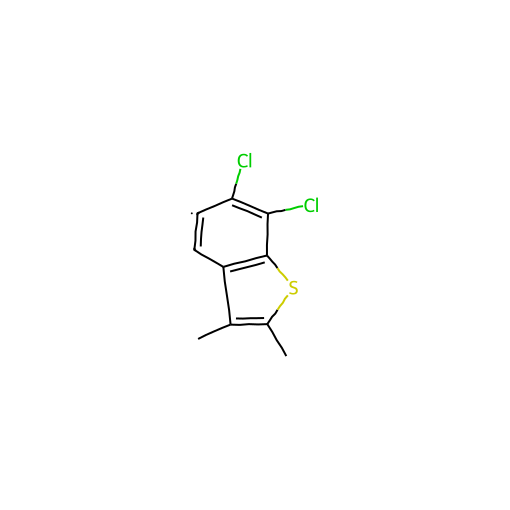 Cc1sc2c(Cl)c(Cl)[c]cc2c1C